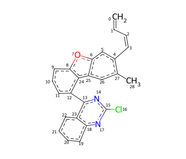 C=C/C=C\c1cc2oc3cccc(-c4nc(Cl)nc5ccccc45)c3c2cc1C